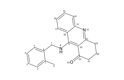 Cc1ccccc1CNc1c2c(nc3ccccc13)CCCC2=O